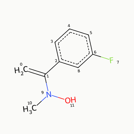 C=C(c1cccc(F)c1)N(C)O